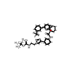 CC(C)(C)OC(=O)NCCn1cc(-c2cccc(NC(=O)N3c4nc(-c5cccc(C(F)(F)F)c5)ccc4N4CCC3CC4)c2)nn1